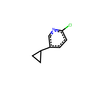 Clc1ccc(C2CC2)cn1